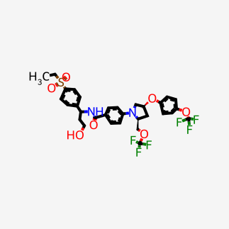 CCS(=O)(=O)c1ccc(C(CCO)NC(=O)c2ccc(N3C[C@@H](Oc4ccc(OC(F)(F)F)cc4)C[C@H]3COC(F)(F)F)cc2)cc1